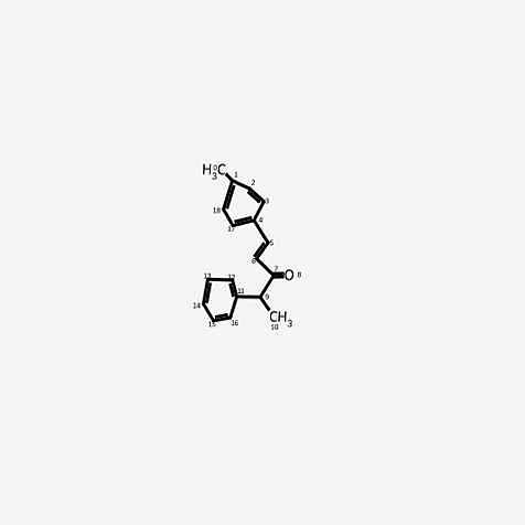 Cc1ccc(C=CC(=O)C(C)c2ccccc2)cc1